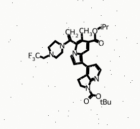 C=C(c1c(C)c(C(=O)OC(C)C)cc2c(-c3ccnc4c3CCN4C(=O)OC(C)(C)C)ccn12)N1CCN(CC(F)(F)F)CC1